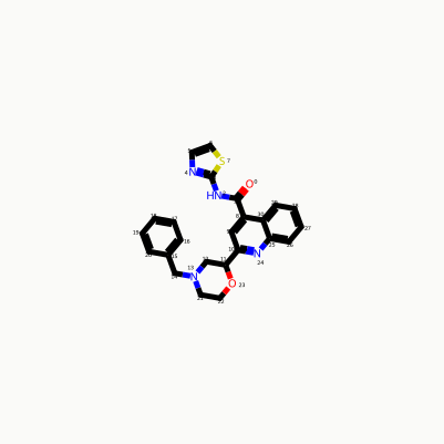 O=C(Nc1nccs1)c1cc(C2CN(Cc3ccccc3)CCO2)nc2ccccc12